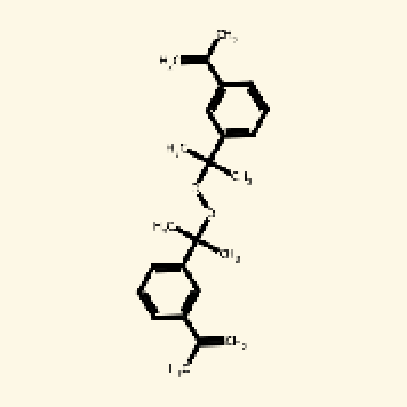 C=C(C)c1cccc(C(C)(C)OOC(C)(C)c2cccc(C(=C)C)c2)c1